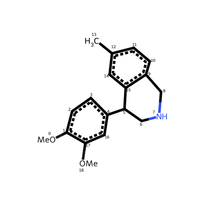 COc1ccc(C2CNCc3ccc(C)cc32)cc1OC